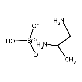 CC(N)CN.[O-][Br+2]([O-])O